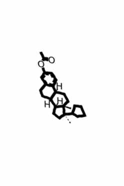 CC(=O)Oc1ccc2c(c1)CC[C@@H]1[C@@H]2CC[C@@]2(C)[C@H]1CC[C@]2(C)C1CCCC1